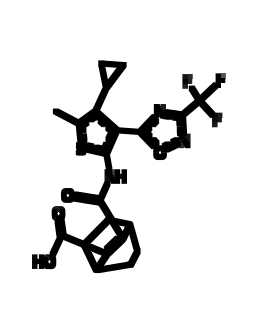 Cc1sc(NC(=O)C2=C(C(=O)O)C3CCC2CC3)c(-c2nc(C(F)(F)F)no2)c1C1CC1